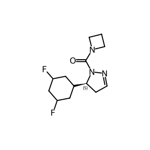 O=C(N1CCC1)N1N=CC[C@H]1C1CC(F)CC(F)C1